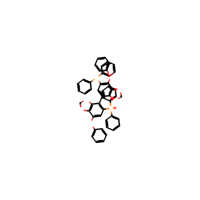 O=P(c1ccccc1)(c1ccccc1)c1cc(-c2c(P(=O)(c3ccccc3)c3ccccc3)cc(Oc3ccccc3)c3c2OCO3)c2c(c1Oc1ccccc1)OCO2